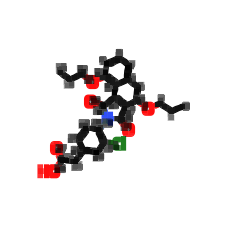 CCCOc1cc2cccc(OCCC)c2c2c1C(=O)N(c1ccc(CC(=O)O)cc1Cl)C2=O